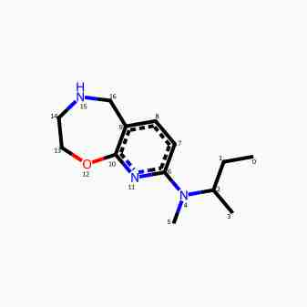 CCC(C)N(C)c1ccc2c(n1)OCCNC2